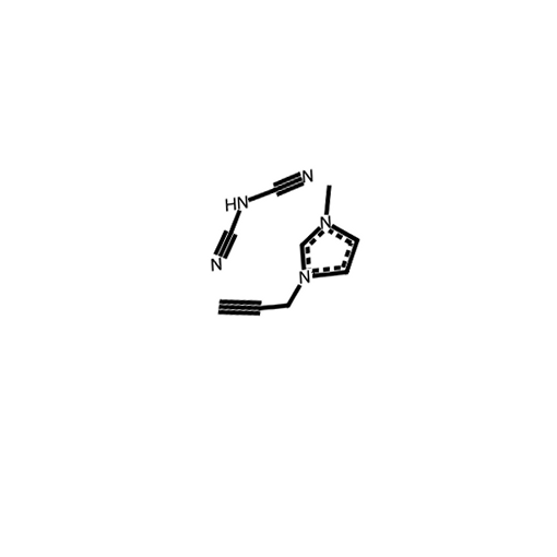 C#CC[n+]1ccn(C)c1.N#CNC#N